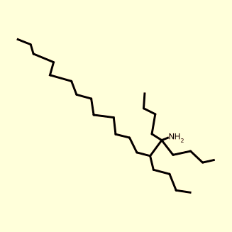 CCCCCCCCCCCCCC(CCCC)C(N)(CCCC)CCCC